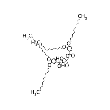 CCCCCCCCCCCCOc1ccc(C(=O)OCC(CO)(CO)COC(=O)c2ccc(OCCCCCCCCCCCC)c(OCCCCCCCCCCCC)c2)cc1OCCCCCCCCCCCC